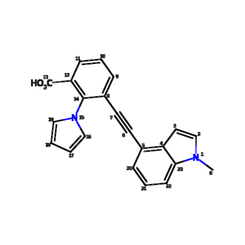 Cn1ccc2c(C#Cc3cccc(C(=O)O)c3-n3cccc3)cccc21